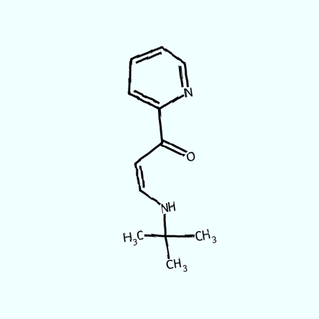 CC(C)(C)N/C=C\C(=O)c1ccccn1